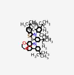 Cc1cc(C(C)(C)C)cc(C)c1N1c2cc(C(C)(C)C)cc3c2B(c2cc4c(cc2N3c2ccc(C(C)(C)C)cc2-c2ccccc2)OCCCO4)c2sc3ccc(C(C)(C)C)cc3c21